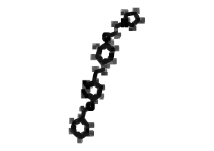 c1ccc(COc2ccc(CCc3ccc(OCCN4CCCC4)cc3)nn2)cc1